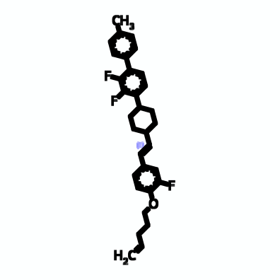 C=CCCCOc1ccc(/C=C/C2CCC(c3ccc(-c4ccc(C)cc4)c(F)c3F)CC2)cc1F